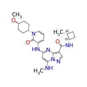 CNc1cc(Nc2cccn([C@H]3CC[C@H](OC)CC3)c2=O)nc2c(C(=O)N[C@H]3CC[C@H]3C)cnn12